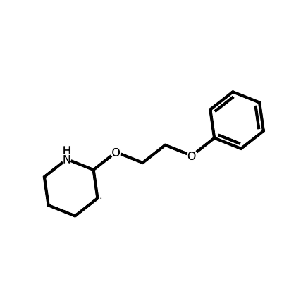 [CH]1CCCNC1OCCOc1ccccc1